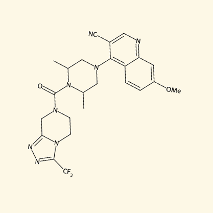 COc1ccc2c(N3CC(C)N(C(=O)N4CCn5c(nnc5C(F)(F)F)C4)C(C)C3)c(C#N)cnc2c1